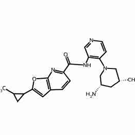 CC1CC1c1cc2ccc(C(=O)Nc3cnccc3N3C[C@H](C)C[C@H](N)C3)nc2o1